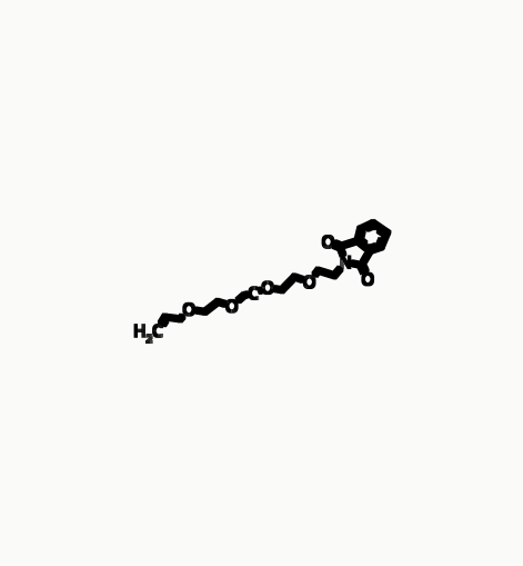 C=CCOCCOCCOCCOCCN1C(=O)c2ccccc2C1=O